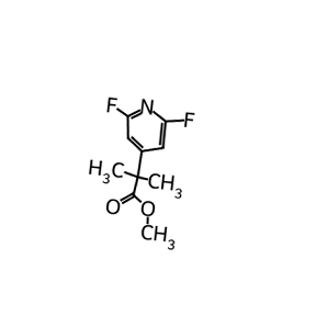 COC(=O)C(C)(C)c1cc(F)nc(F)c1